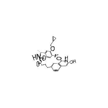 C[C@@H](NS(=O)(=O)CCCc1ccc2cc(O)[nH]c(=O)c2c1)c1ccc(F)c(OCC2CC2)c1